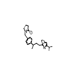 CC(C)c1coc(CCC(C)c2ccc(CN3CCCC3=O)cc2)n1